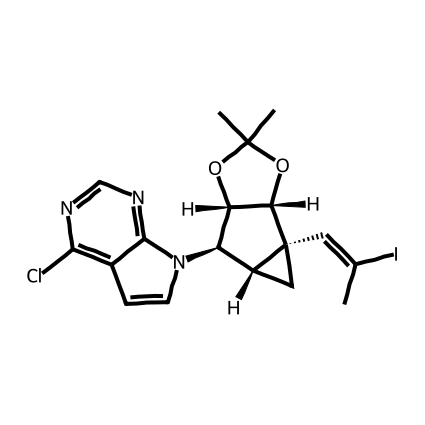 C/C(I)=C\[C@]12C[C@@H]1[C@@H](n1ccc3c(Cl)ncnc31)[C@@H]1OC(C)(C)O[C@@H]12